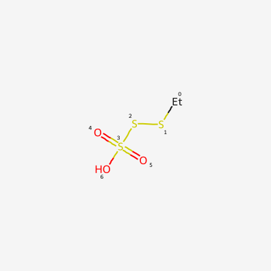 CCSSS(=O)(=O)O